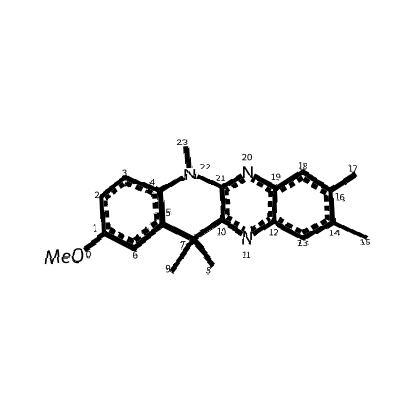 COc1ccc2c(c1)C(C)(C)c1nc3cc(C)c(C)cc3nc1N2C